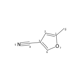 [CH2]c1cc(C#N)co1